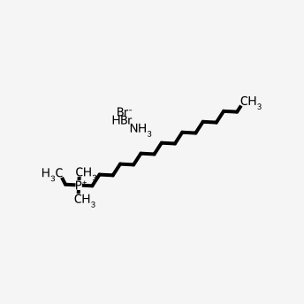 Br.CCCCCCCCCCCCCCCC[P+](C)(C)CC.N.[Br-]